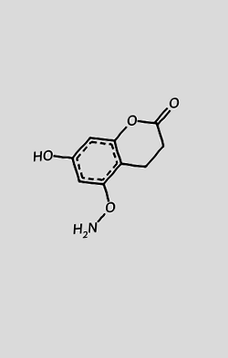 NOc1cc(O)cc2c1CCC(=O)O2